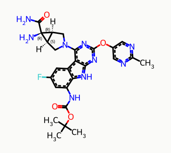 Cc1ncc(Oc2nc(N3C[C@@H]4[C@H](C3)[C@@]4(N)C(N)=O)c3c(n2)[nH]c2c(NC(=O)OC(C)(C)C)cc(F)cc23)cn1